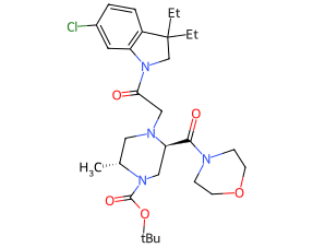 CCC1(CC)CN(C(=O)CN2C[C@@H](C)N(C(=O)OC(C)(C)C)C[C@@H]2C(=O)N2CCOCC2)c2cc(Cl)ccc21